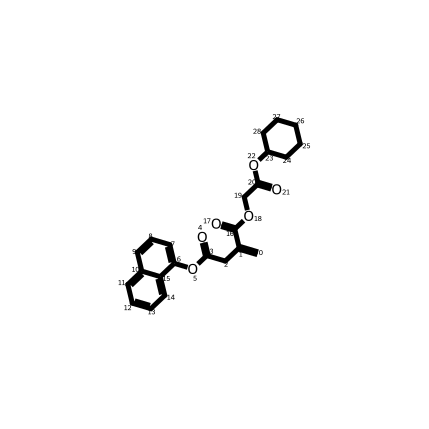 C=C(CC(=O)Oc1cccc2ccccc12)C(=O)OCC(=O)OC1CCCCC1